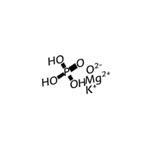 O=P(O)(O)O.[K+].[Mg+2].[O-2]